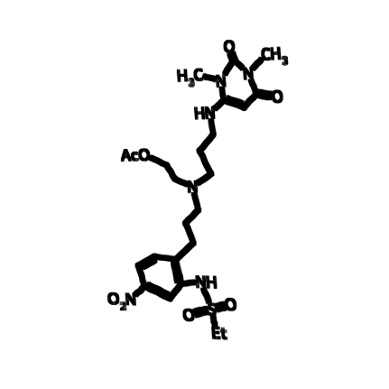 CCS(=O)(=O)Nc1cc([N+](=O)[O-])ccc1CCCN(CCCNc1cc(=O)n(C)c(=O)n1C)CCOC(C)=O